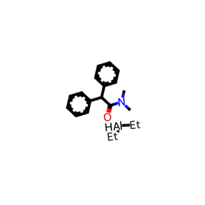 CN(C)C(=O)C(c1ccccc1)c1ccccc1.C[CH2][AlH][CH2]C